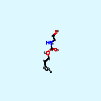 C=CCOC(=O)NCC=O